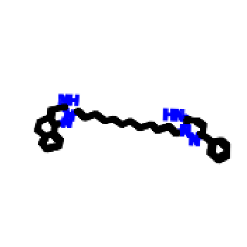 N=c1ccc(-c2ccccc2)nn1CCCCCCCCCCCCn1nc2c(cc1=N)CCc1ccccc1-2